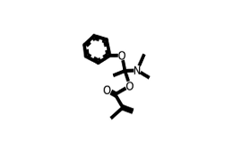 C=C(C)C(=O)OC(C)(Oc1ccccc1)N(C)C